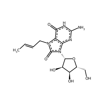 CC=CCn1c(=O)n([C@@H]2O[C@H](CO)[C@@H](O)[C@H]2O)c2nc(N)[nH]c(=O)c21